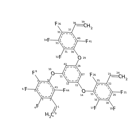 C=Cc1c(F)c(F)c(F)c(Oc2cc(Oc3c(F)c(F)c(F)c(C=C)c3F)cc(Oc3c(F)c(F)c(F)c(C=C)c3F)c2)c1F